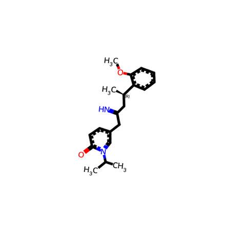 COc1ccccc1[C@H](C)CC(=N)Cc1ccc(=O)n(C(C)C)c1